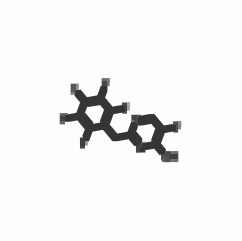 Oc1nc(Cc2c(F)c(F)c(F)c(F)c2F)ncc1F